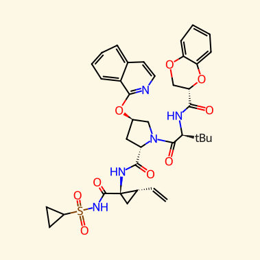 C=C[C@@H]1C[C@]1(NC(=O)[C@@H]1C[C@@H](Oc2nccc3ccccc23)CN1C(=O)[C@@H](NC(=O)[C@@H]1COc2ccccc2O1)C(C)(C)C)C(=O)NS(=O)(=O)C1CC1